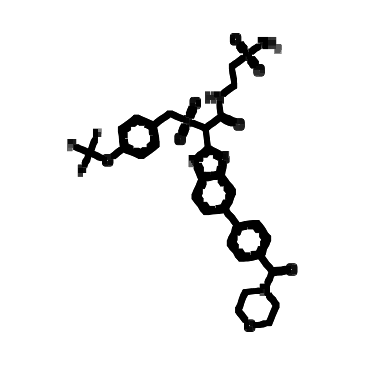 NS(=O)(=O)CCNC(=O)C(c1nc2ccc(-c3ccc(C(=O)N4CCOCC4)cc3)cc2s1)S(=O)(=O)Cc1ccc(OC(F)(F)F)cc1